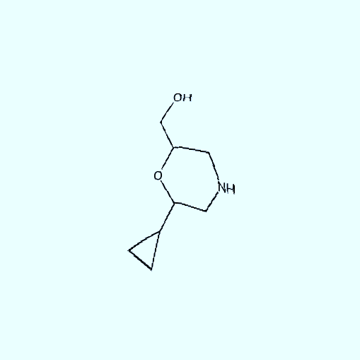 OCC1CNCC(C2CC2)O1